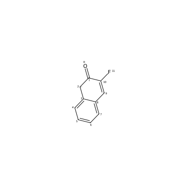 O=C1[CH]c2ccccc2C=C1F